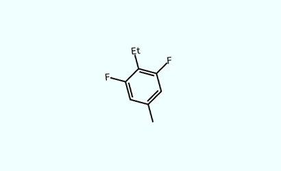 CCc1c(F)cc(C)cc1F